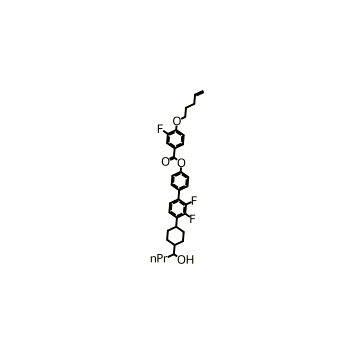 C=CCCCOc1ccc(C(=O)Oc2ccc(-c3ccc(C4CCC(C(O)CCC)CC4)c(F)c3F)cc2)cc1F